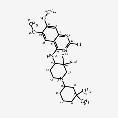 COc1cc2nc(Cl)nc(NC3CCN(C4CCCC(C)(C)C4)CC3(F)F)c2cc1OC